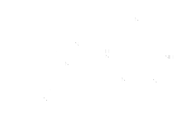 Cc1cncc(-n2c([C@@H](C)Nc3ncnc(N)c3C#N)nc3ccc(F)cc32)c1